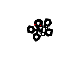 [Cl][Ag]([PH](c1ccccc1)(c1ccccc1)c1ccccc1)[PH](c1ccccc1)(c1ccccc1)c1ccccc1